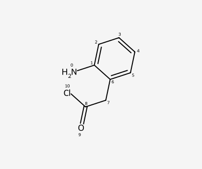 Nc1ccccc1CC(=O)Cl